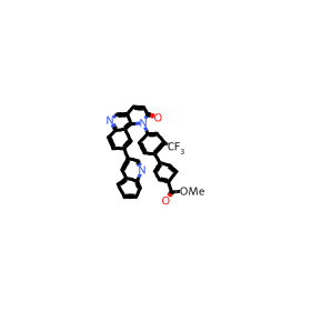 COC(=O)c1ccc(-c2ccc(-n3c(=O)ccc4cnc5ccc(-c6cnc7ccccc7c6)cc5c43)cc2C(F)(F)F)cc1